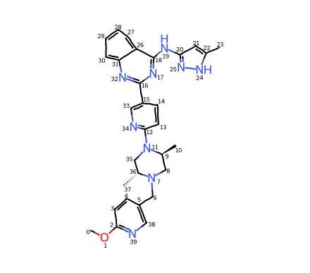 COc1ccc(CN2C[C@H](C)N(c3ccc(-c4nc(Nc5cc(C)[nH]n5)c5ccccc5n4)cn3)C[C@H]2C)cn1